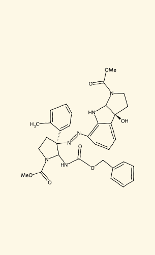 COC(=O)N1CC[C@](/N=N/c2cccc3c2NC2N(C(=O)OC)CC[C@]32O)(c2ccccc2C)C1NC(=O)OCc1ccccc1